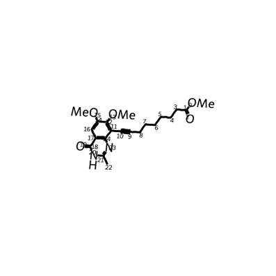 COC(=O)CCCCCCC#Cc1c(OC)c(OC)cc2c(=O)[nH]c(C)nc12